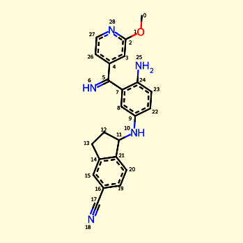 COc1cc(C(=N)c2cc(NC3CCc4cc(C#N)ccc43)ccc2N)ccn1